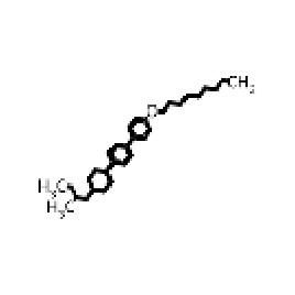 CCCCCCCCCOc1ccc(-c2ccc(C3CCC(CC(C)CC)CC3)cc2)cc1